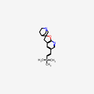 C[Si](C)(C)C=Cc1cnc2c(c1)CC1(CN3CCC1CC3)O2